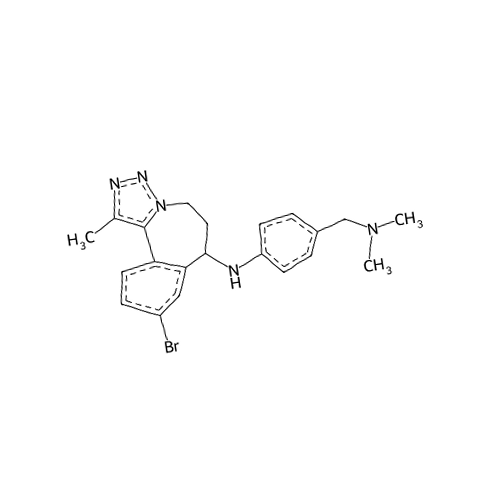 Cc1nnn2c1-c1ccc(Br)cc1C(Nc1ccc(CN(C)C)cc1)CC2